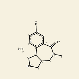 CN1CC2CNCC2c2ccc(F)cc2C1=O.Cl